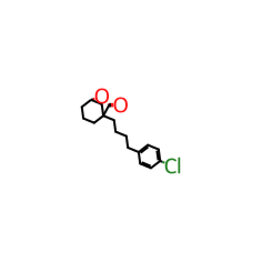 O=C1OC2CCCC1(CCCCc1ccc(Cl)cc1)C2